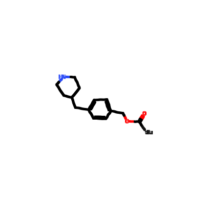 CC(C)(C)C(=O)OCc1ccc(CC2CCNCC2)cc1